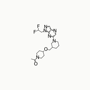 CC(=O)N1CCC(OCC2CCCN(c3cnc4cnn(CC(F)F)c4n3)C2)CC1